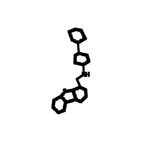 c1ccc(-c2ccc(NCc3cccc4c3sc3ccccc34)cc2)cc1